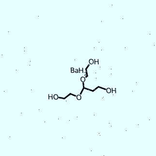 OCCOC(CCO)OCCO.[BaH2]